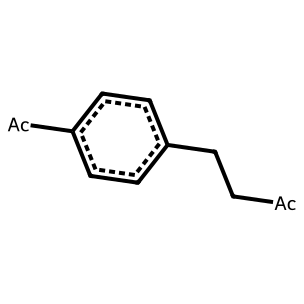 CC(=O)CCc1ccc(C(C)=O)cc1